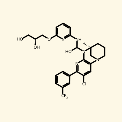 OC[C@H](O)COc1cccc(NC(O)N2c3nc(-c4cccc(C(F)(F)F)c4)c(Cl)cc3N3CCC[C@H]2C3)n1